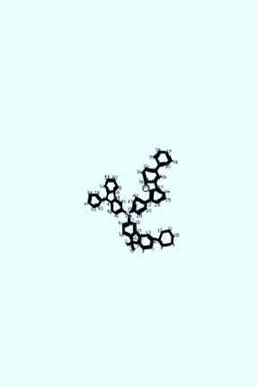 CC1(C)c2ccc(C3CCCCC3)cc2-c2cc(N(c3ccc(-c4cccc5c4oc4ccc(-c6ccccc6)cc45)cc3)c3ccc4c(c3)-c3ccccc3C4c3ccccc3)ccc21